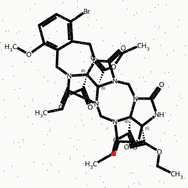 CCOC(=O)[C@]12NC(=O)N3CN4C(=O)N5Cc6c(Br)ccc(OC)c6CN6C(=O)N(CN(C(=O)N1)[C@@]32C(=O)OCC)[C@@]4(C(=O)OCC)[C@]56C(=O)OCC